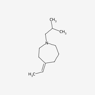 CC=C1CCCN(CC(C)C)CC1